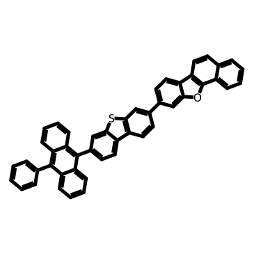 c1ccc(-c2c3ccccc3c(-c3ccc4c(c3)sc3cc(-c5ccc6c(c5)oc5c7ccccc7ccc65)ccc34)c3ccccc23)cc1